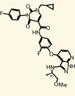 COC[C@@H](C)Nc1n[nH]c2nccc(Oc3ccc(NC(=O)c4cn(CC5CC5)c(=O)n(-c5ccc(F)cc5)c4=O)cc3F)c12